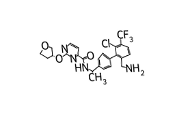 C[C@@H](NC(=O)c1ccnc(O[C@@H]2CCOC2)n1)c1ccc(-c2c(CN)ccc(C(F)(F)F)c2Cl)cc1